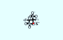 O=S(=O)([O-])C(F)(F)C(F)(F)S(=O)(=O)Cl.[K+]